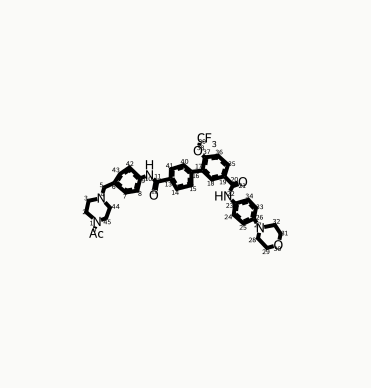 CC(=O)N1CCN(Cc2ccc(NC(=O)c3ccc(-c4cc(C(=O)Nc5ccc(N6CCOCC6)cc5)ccc4OC(F)(F)F)cc3)cc2)CC1